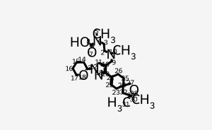 CN(CCN(C)C(=O)O)Cc1cn(C2CCCCO2)nc1C1=CCC2(CC1)COC(C)(C)C2